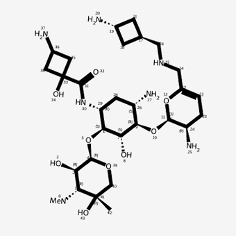 CN[C@@H]1[C@@H](O)[C@@H](O[C@@H]2[C@@H](O)[C@H](O[C@H]3OC(CNC[C@H]4C[C@H](N)C4)=CC[C@H]3N)[C@@H](N)C[C@H]2NC(=O)C2(O)CC(N)C2)OC[C@]1(C)O